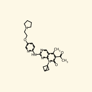 CC(=O)c1c(C)c2cnc(Nc3ccc(OCCN4CCCC4)cn3)nc2n(C23CC(C2)C3)c1=O